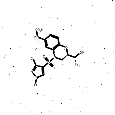 CCn1cc(S(=O)(=O)N2C[C@H]([C@H](O)C(F)(F)F)Oc3ccc(NC(=O)O)cc32)c(Cl)n1